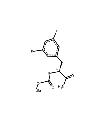 CC(C)(C)OC(=O)N[C@@H](Cc1cc(F)cc(F)c1)C(N)=O